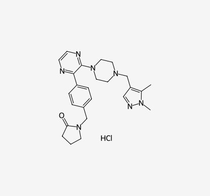 Cc1c(CN2CCN(c3nccnc3-c3ccc(CN4CCCC4=O)cc3)CC2)cnn1C.Cl